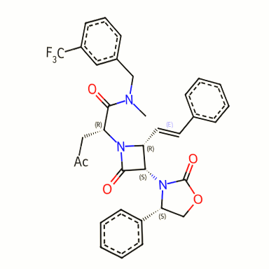 CC(=O)C[C@H](C(=O)N(C)Cc1cccc(C(F)(F)F)c1)N1C(=O)[C@@H](N2C(=O)OC[C@@H]2c2ccccc2)[C@H]1/C=C/c1ccccc1